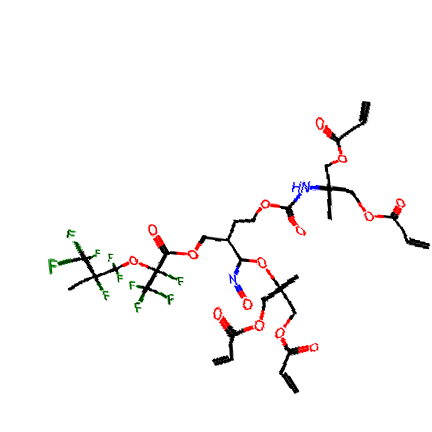 C=CC(=O)OCC(C)(COC(=O)C=C)NC(=O)OCCC(COC(=O)C(F)(OC(F)(F)C(C)(F)C(F)(F)F)C(F)(F)F)C(N=O)OC(C)(COC(=O)C=C)COC(=O)C=C